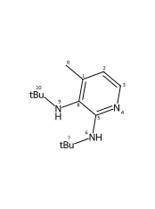 Cc1ccnc(NC(C)(C)C)c1NC(C)(C)C